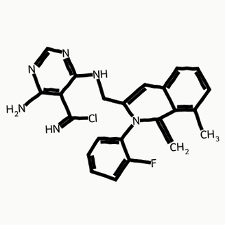 C=C1c2c(C)cccc2C=C(CNc2ncnc(N)c2C(=N)Cl)N1c1ccccc1F